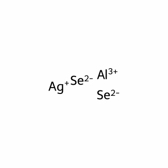 [Ag+].[Al+3].[Se-2].[Se-2]